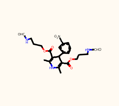 CC1=C(C(=O)OCCCNC=O)C(c2cccc([N+](=O)[O-])c2)C(C(=O)OCCCNC=O)=C(C)N1